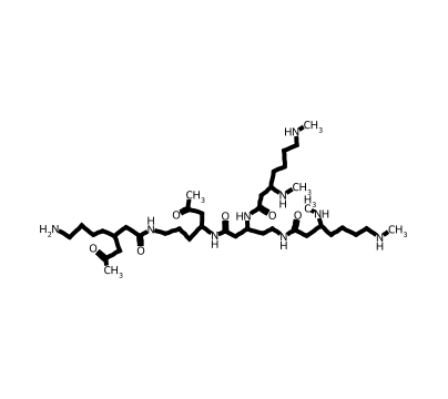 CNCCCCC(CC(=O)NCCC(CC(=O)NC(CCCNC(=O)CC(CCCCN)CC(C)=O)CC(C)=O)NC(=O)CC(CCCCNC)NC)NC